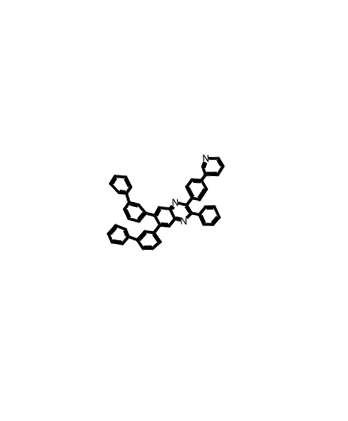 c1ccc(-c2cccc(-c3cc4nc(-c5ccccc5)c(-c5ccc(-c6cccnc6)cc5)nc4cc3-c3cccc(-c4ccccc4)c3)c2)cc1